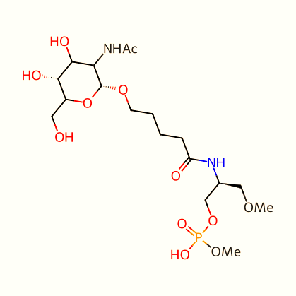 COC[C@@H](COP(=O)(O)OC)NC(=O)CCCCO[C@@H]1OC(CO)[C@H](O)C(O)C1NC(C)=O